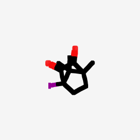 CC12CCC(I)(C(=O)C1=O)C2(C)C